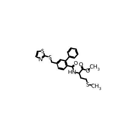 COC(=O)C(CCSC)NC(=O)c1ccc(CSc2nccs2)cc1-c1ccccc1